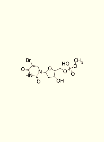 COP(=O)(O)OCC1OC(n2cc(Br)c(=O)[nH]c2=O)CC1O